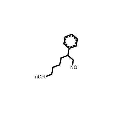 CCCCCCCCCCCCC(CN=O)c1ccccc1